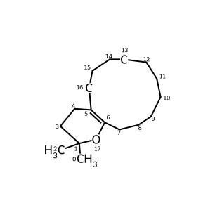 CC1(C)CCC2=C(CCCCCCCCCC2)O1